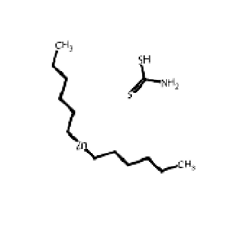 CCCCC[CH2][Zn][CH2]CCCCC.NC(=S)S